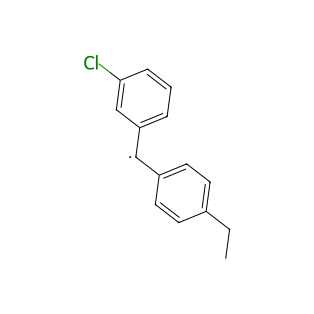 CCc1ccc([CH]c2cccc(Cl)c2)cc1